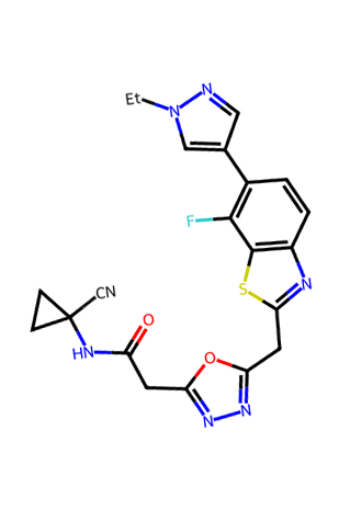 CCn1cc(-c2ccc3nc(Cc4nnc(CC(=O)NC5(C#N)CC5)o4)sc3c2F)cn1